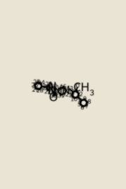 Cc1cc(-c2ccccc2)ccc1CN1CCN(C(=O)n2cc(-c3ccccc3)cn2)CC1